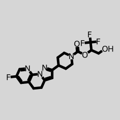 O=C(OC(CO)C(F)(F)F)N1CCC(c2cc3n(n2)-c2ncc(F)cc2CC3)CC1